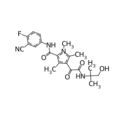 Cc1c(C(=O)C(=O)NC(C)(C)CO)c(C)n(C)c1C(=O)Nc1ccc(F)c(C#N)c1